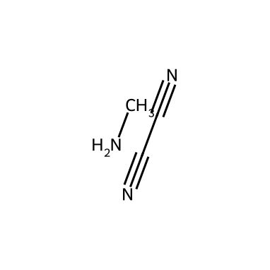 CN.N#CC#N